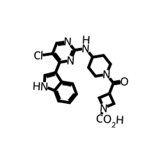 O=C(O)N1CC(C(=O)N2CCC(Nc3ncc(Cl)c(-c4c[nH]c5ccccc45)n3)CC2)C1